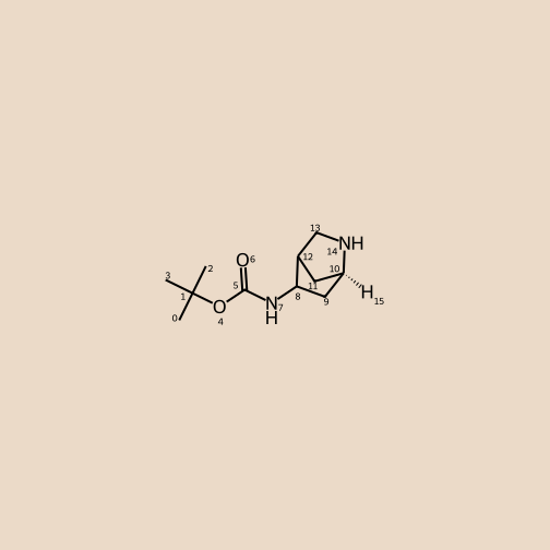 CC(C)(C)OC(=O)NC1C[C@H]2CC1CN2